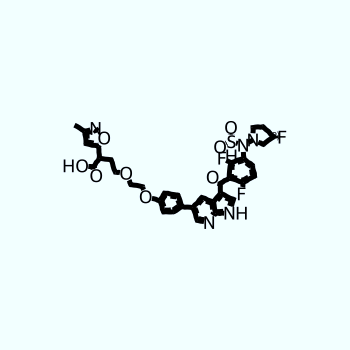 Cc1cc(C(CCOCCOc2ccc(-c3cnc4[nH]cc(C(=O)c5c(F)ccc(N(N6CC[C@@H](F)C6)[SH](=O)=O)c5F)c4c3)cc2)C(=O)O)on1